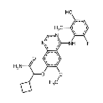 COc1cc2c(Nc3c(F)ccc(O)c3C)ncnc2cc1OC(C(N)=O)C1CCC1